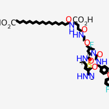 C=NC(=N)c1csc([C@@H](C)NC(=O)[C@@H]2C[C@](F)(COCCNC(=O)CC[C@H](NC(=O)CCCCCCCCCCCCCCCCC(=O)O)C(=O)O)CN2C(=O)CNC(=O)c2ccc(Oc3ccc(F)cc3)cc2)c1